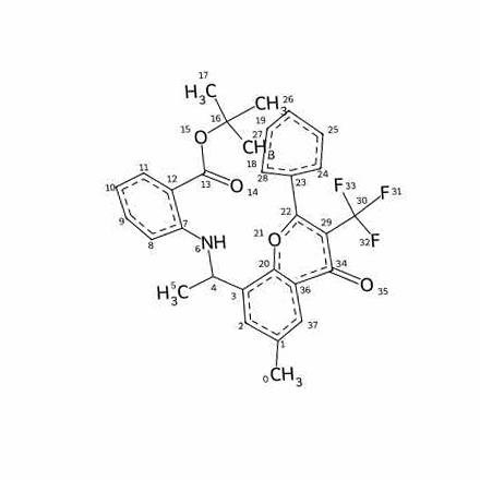 Cc1cc(C(C)Nc2ccccc2C(=O)OC(C)(C)C)c2oc(-c3ccccc3)c(C(F)(F)F)c(=O)c2c1